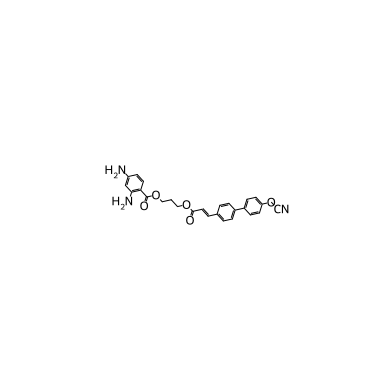 N#COc1ccc(-c2ccc(/C=C/C(=O)OCCCOC(=O)c3ccc(N)cc3N)cc2)cc1